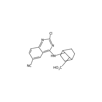 N#Cc1ccc2nc(Cl)nc(NC3C4CCC(CC4)C3C(=O)O)c2c1